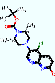 C[C@@H]1CN(c2cnc3nc(O)ccc3c2Cl)C[C@H](C)N1C(=O)OC(C)(C)C